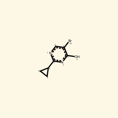 Oc1nc(C2CC2)ncc1Br